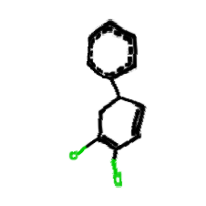 ClC1=C(Cl)CC(c2ccccc2)C=C1